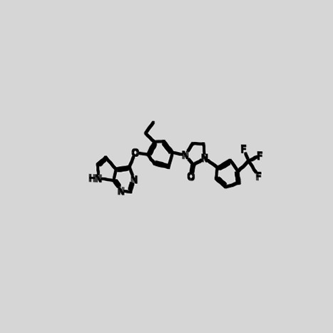 CCc1cc(N2CCN(c3cccc(C(F)(F)F)c3)C2=O)ccc1Oc1ncnc2[nH]ccc12